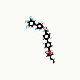 CCCC12COC(c3ccc(-c4ccc(C(F)(F)Oc5ccc(-c6cc(F)c(F)c(F)c6)c(F)c5)cc4)cc3)(OC1)OC2